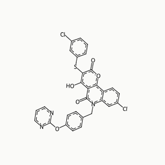 O=c1oc2c(c(O)c1Sc1cccc(Cl)c1)c(=O)n(Cc1ccc(Oc3ncccn3)cc1)c1cc(Cl)ccc21